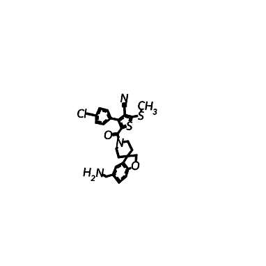 CSc1sc(C(=O)N2CCC3(CC2)COc2ccc(CN)cc23)c(-c2ccc(Cl)cc2)c1C#N